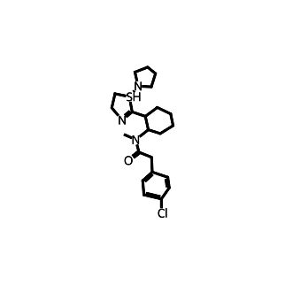 CN(C(=O)Cc1ccc(Cl)cc1)C1CCCCC1C1=NCC[SH]1N1CCCC1